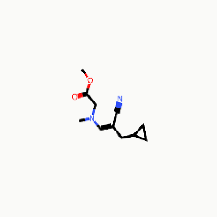 COC(=O)CN(C)C=C(C#N)CC1CC1